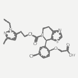 CCn1nc(C)cc1CCOC(=O)N1CCc2ncsc2C1c1cc(Cl)ccc1OCC(=O)O